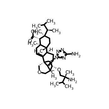 CC(C)[C@@H](C)[C@@]1(C)CC[C@]2(C)[C@H]3CC[C@@H]4[C@@]5(COC[C@@]4(C)[C@@H](OC[C@](C)(N)C(C)C)[C@H](n4nnc(N)n4)C5)C3=CC[C@@]2(C)[C@@H]1C(=O)O